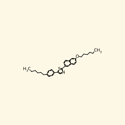 CCCCCCOc1ccc2cc(-c3ncc(-c4ccc(CCCCCC)cc4)s3)ccc2c1